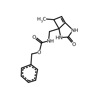 CC1C=C2NC(=O)NC21CNC(=O)OCc1ccccc1